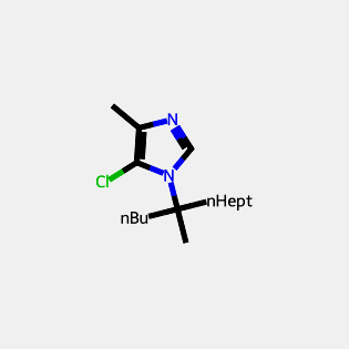 CCCCCCCC(C)(CCCC)n1cnc(C)c1Cl